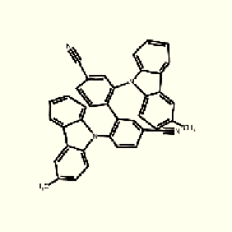 Cc1ccc2c(c1)c1ccccc1n2-c1ccc(C#N)cc1-c1ccc(C#N)cc1-n1c2ccccc2c2cc(C)ccc21